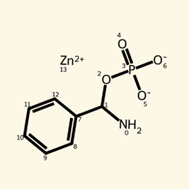 NC(OP(=O)([O-])[O-])c1ccccc1.[Zn+2]